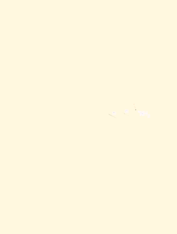 CCCCCCCCCCCCC/C=C/C=C/C(N)=O